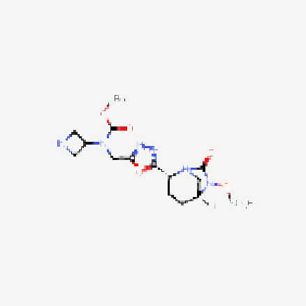 CC(C)(C)OC(=O)N(Cc1nnc([C@@H]2CC[C@@H]3CN2C(=O)N3OS(=O)(=O)O)o1)C1CNC1